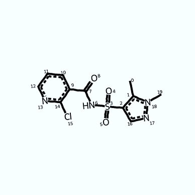 Cc1c(S(=O)(=O)NC(=O)c2cccnc2Cl)cnn1C